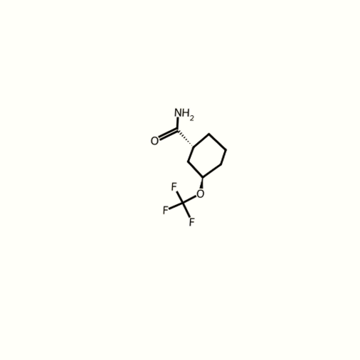 NC(=O)[C@@H]1CCC[C@@H](OC(F)(F)F)C1